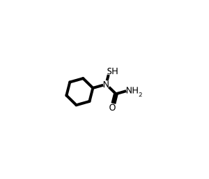 NC(=O)N(S)C1CCCCC1